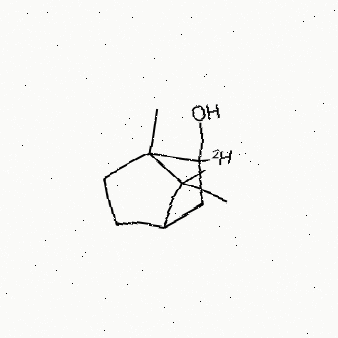 [2H]C1(O)CC2CCC1(C)C2(C)C